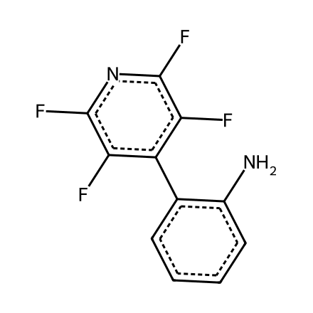 Nc1ccccc1-c1c(F)c(F)nc(F)c1F